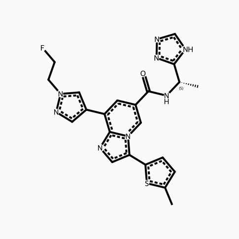 Cc1ccc(-c2cnc3c(-c4cnn(CCF)c4)cc(C(=O)N[C@@H](C)c4nnc[nH]4)cn23)s1